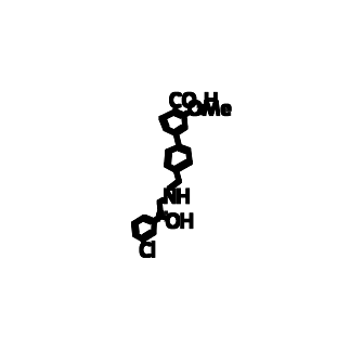 COc1cc(-c2ccc(CCNC[C@H](O)c3cccc(Cl)c3)cc2)ccc1C(=O)O